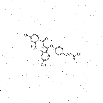 CCNCCc1ccc(Oc2c(C(=O)c3ccc(Cl)cc3C)sc3cc(O)ccc23)cc1